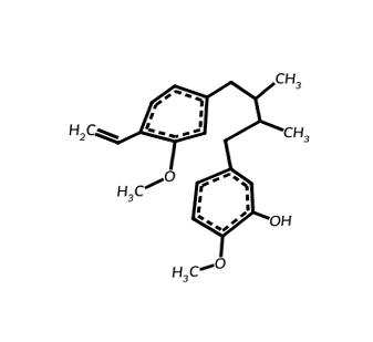 C=Cc1ccc(CC(C)C(C)Cc2ccc(OC)c(O)c2)cc1OC